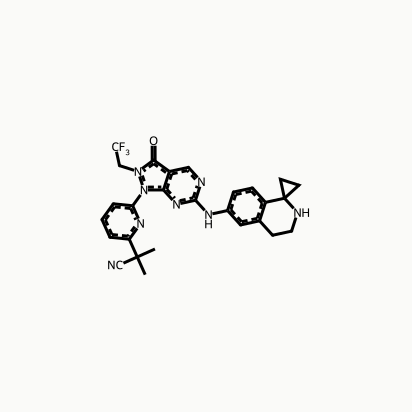 CC(C)(C#N)c1cccc(-n2c3nc(Nc4ccc5c(c4)CCNC54CC4)ncc3c(=O)n2CC(F)(F)F)n1